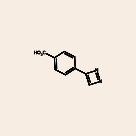 O=C(O)c1ccc(C2=CN=N2)cc1